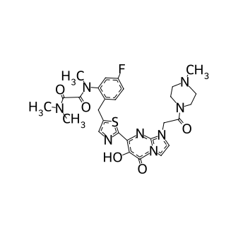 CN1CCN(C(=O)Cn2ccn3c(=O)c(O)c(-c4ncc(Cc5ccc(F)cc5N(C)C(=O)C(=O)N(C)C)s4)nc23)CC1